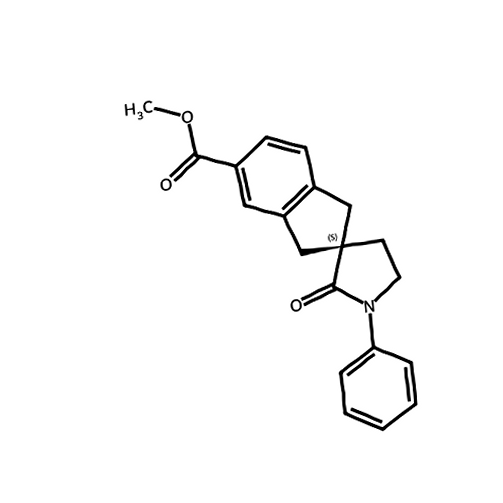 COC(=O)c1ccc2c(c1)C[C@]1(CCN(c3ccccc3)C1=O)C2